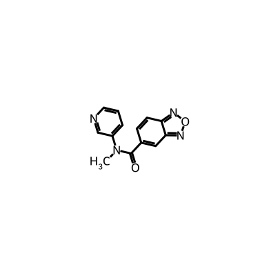 CN(C(=O)c1ccc2nonc2c1)c1cccnc1